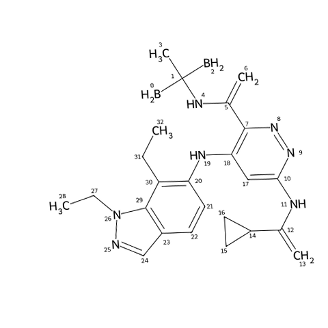 BC(B)(C)NC(=C)c1nnc(NC(=C)C2CC2)cc1Nc1ccc2cnn(CC)c2c1CC